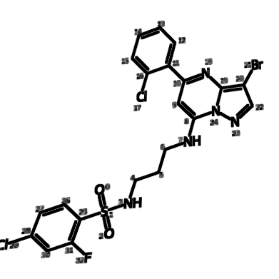 O=S(=O)(NCCCNc1cc(-c2ccccc2Cl)nc2c(Br)cnn12)c1ccc(Cl)cc1F